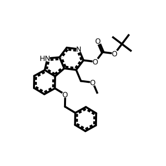 COCc1c(OC(=O)OC(C)(C)C)ncc2[nH]c3cccc(OCc4ccccc4)c3c12